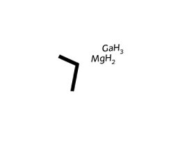 CCC.[GaH3].[MgH2]